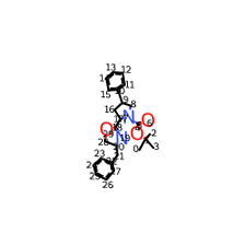 CC(C)(C)OC(=O)N1CC(c2ccccc2)CC1C1=NC(Cc2ccccc2)CO1